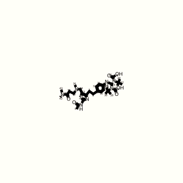 CC(=O)Nc1nc(CCc2ccc(NC(N(C(=O)O)C(C)(C)C)N(C(=O)O)C(C)(C)C)cc2)c(CN(C)CCC(=O)N(C)C)s1